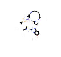 COc1ccc2c(O[C@@H]3C[C@H]4C(=O)N[C@]5(C(=O)NS(=O)(=O)C6CC6)C[C@H]5/C=C\CCCCC(C)C(=O)N4C3)nc(-c3nc(C(C)C)cs3)nc2c1C